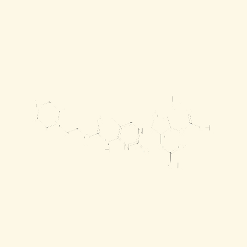 CC(=O)OC1C(OC(C)=O)[C@@H](C)O[C@H]1n1cc(I)c(NC(=O)OCCN2CCOCC2)nc1=O